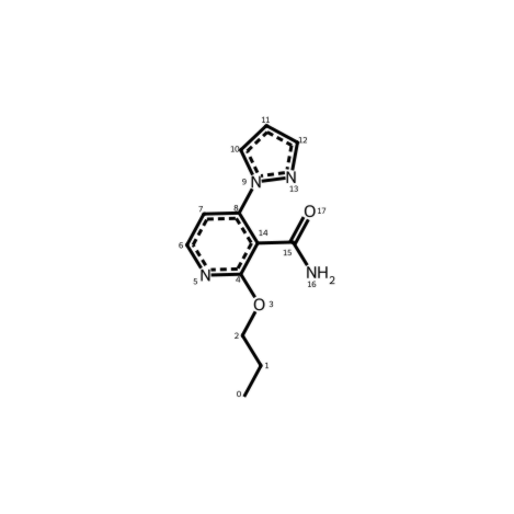 CCCOc1nccc(-n2cccn2)c1C(N)=O